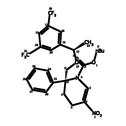 CCCCOC(=O)N1C=C([N+](=O)[O-])CC[C@@]1(CO[C@H](C)c1cc(C(F)(F)F)cc(C(F)(F)F)c1)c1ccccc1